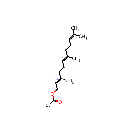 CCC(=O)OC/C=C(\C)CC/C=C(\C)CCC=C(C)C